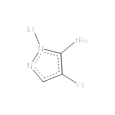 CCn1ncc(Cl)c1C(C)(C)C